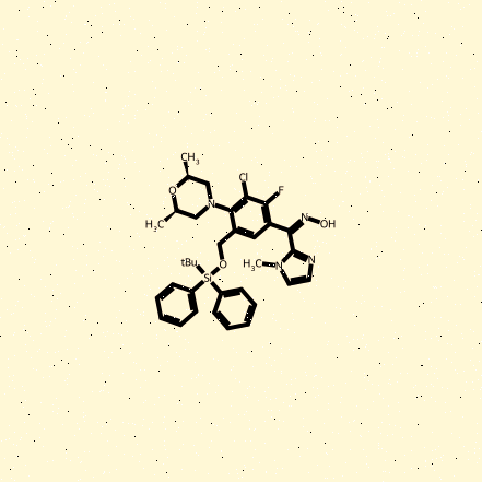 C[C@@H]1CN(c2c(CO[Si](c3ccccc3)(c3ccccc3)C(C)(C)C)cc(C(=NO)c3nccn3C)c(F)c2Cl)C[C@H](C)O1